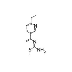 C=C(/N=C(/N)SC)c1ccc(CC)nc1